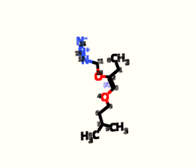 CC/C(=C/OCCC(C)C)OCN=[N+]=[N-]